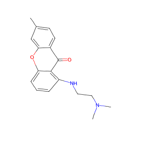 Cc1ccc2c(=O)c3c(NCCN(C)C)cccc3oc2c1